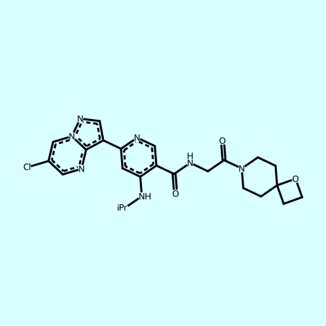 CC(C)Nc1cc(-c2cnn3cc(Cl)cnc23)ncc1C(=O)NCC(=O)N1CCC2(CCO2)CC1